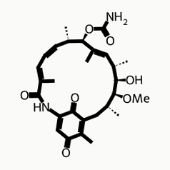 CO[C@@H]1[C@H](O)[C@@H](C)/C=C(\C)[C@H](OC(N)=O)[C@@H](C)/C=C\C=C(/C)C(=O)NC2=CC(=O)C(C)=C(C[C@H]1C)C2=O